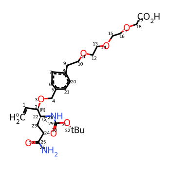 C=C[C@@H](OCc1ccc(CCOCCOCCOCC(=O)O)cc1)[C@H](CCC(N)=O)NC(=O)OC(C)(C)C